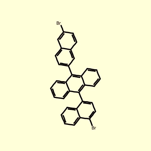 Brc1ccc2cc(-c3c4ccccc4c(-c4ccc(Br)c5ccccc45)c4ccccc34)ccc2c1